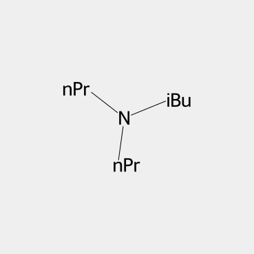 CCCN(CCC)C(C)CC